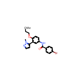 COCCOc1ccc(NC(=O)c2ccc(Br)cc2)cc1-c1ccnn1C